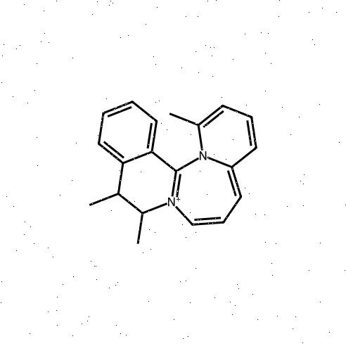 CC1=CC=CC2=CC=C[N+]3=C(c4ccccc4C(C)C3C)N12